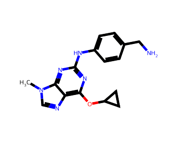 Cn1cnc2c(OC3CC3)nc(Nc3ccc(CN)cc3)nc21